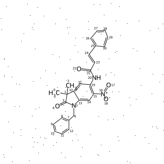 CC1(C)C(=O)N(Cc2ccccc2)c2cc([N+](=O)[O-])c(NC(=O)C=Cc3ccccc3)cc21